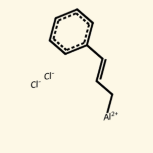 [Al+2][CH2]C=Cc1ccccc1.[Cl-].[Cl-]